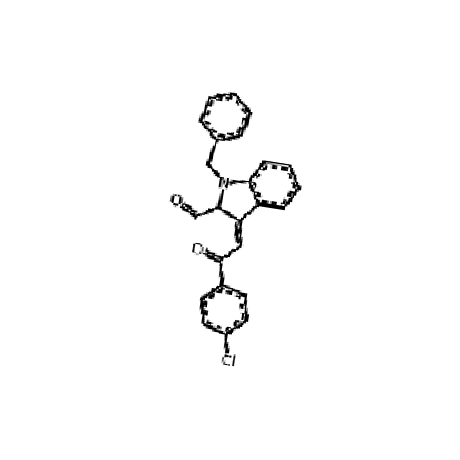 O=CC1C(=CC(=O)c2ccc(Cl)cc2)c2ccccc2N1Cc1ccccc1